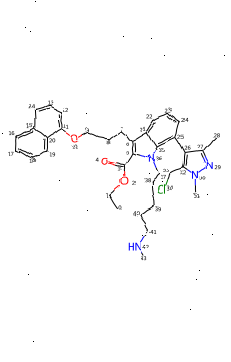 CCOC(=O)c1c(CCCOc2cccc3ccccc23)c2cccc(-c3c(C)nn(C)c3CCl)c2n1CCCCCNC